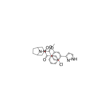 COc1cc(-c2cc[nH]n2)c(Cl)cc1C(=O)C(=O)N1C2CCC1CN(C(=O)c1ccccc1)C2